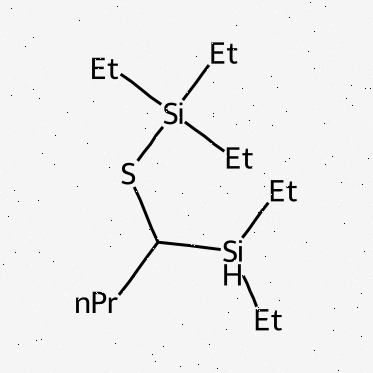 CCCC(S[Si](CC)(CC)CC)[SiH](CC)CC